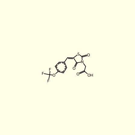 O=C(O)CN1C(=O)SC(=Cc2ccc(OC(F)(F)F)cc2)C1=O